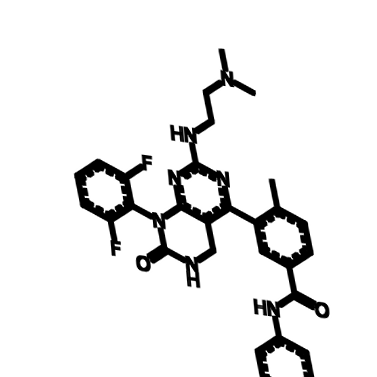 Cc1ccc(C(=O)Nc2cccc(Cl)c2)cc1-c1nc(NCCN(C)C)nc2c1CNC(=O)N2c1c(F)cccc1F